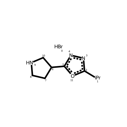 Br.CC(C)c1nnc(C2CCNC2)o1